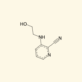 N#Cc1ncccc1NCCO